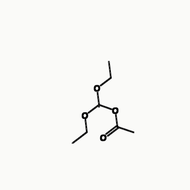 CCO[C](OCC)OC(C)=O